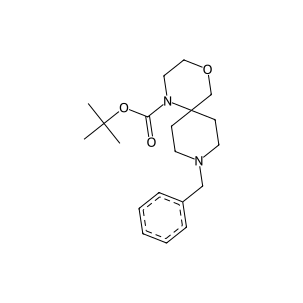 CC(C)(C)OC(=O)N1CCOCC12CCN(Cc1ccccc1)CC2